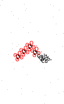 [Ca+2].[Cd+2].[Cu+2].[O]=[Cr](=[O])([O-])[O-].[O]=[Cr](=[O])([O-])[O-].[O]=[Cr](=[O])([O-])[O-].[O]=[Cr](=[O])([O-])[O-].[Zn+2]